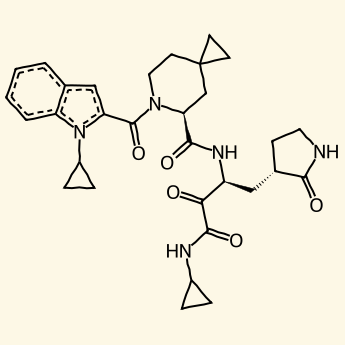 O=C(NC1CC1)C(=O)[C@H](C[C@@H]1CCNC1=O)NC(=O)[C@@H]1CC2(CCN1C(=O)c1cc3ccccc3n1C1CC1)CC2